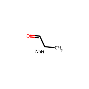 CCC=O.[NaH]